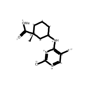 COC(=O)[C@]1(C)CCCC(Nc2nc(Cl)ncc2F)C1